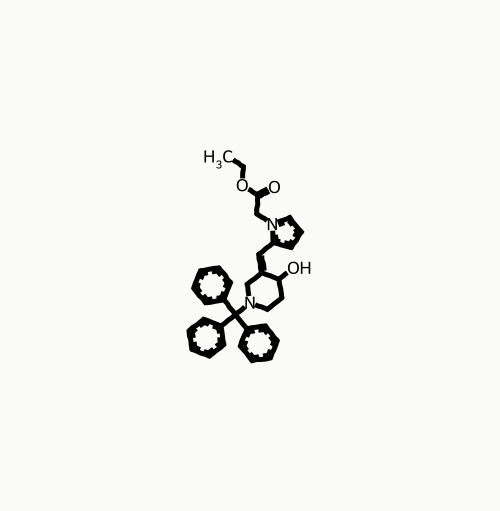 CCOC(=O)Cn1cccc1/C=C1/CN(C(c2ccccc2)(c2ccccc2)c2ccccc2)CCC1O